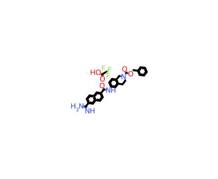 N=C(N)c1ccc2cc(C(=O)Nc3ccc4c(c3)CCN(C(=O)OCc3ccccc3)C4)ccc2c1.O=C(O)C(F)(F)F